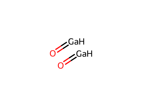 [O]=[GaH].[O]=[GaH]